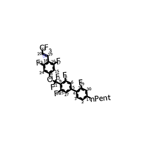 CCCCCc1ccc(-c2cc(F)c(C(F)(F)Oc3cc(F)c(/C=C/C(F)(F)F)c(F)c3)c(F)c2)c(F)c1